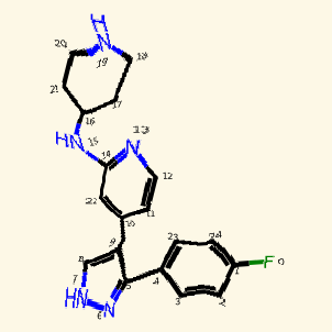 Fc1ccc(-c2n[nH]cc2-c2ccnc(NC3CCNCC3)c2)cc1